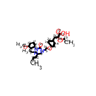 CCCC(CCC)CN(CCOc1ccc(CC(OCC)C(=O)O)cc1)C(=O)Nc1cccc(OC)c1